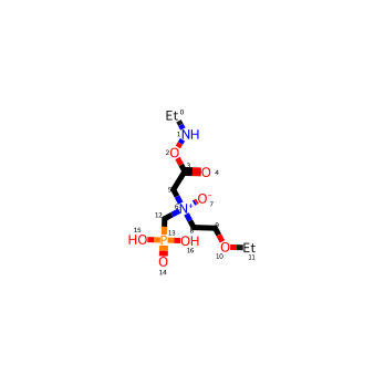 CCNOC(=O)C[N+]([O-])(CCOCC)CP(=O)(O)O